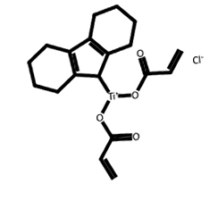 C=CC(=O)[O][Ti+]([O]C(=O)C=C)[CH]1C2=C(CCCC2)C2=C1CCCC2.[Cl-]